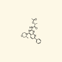 CC(=O)OC(C)C(=O)Nc1nc(N2CCOC[C@@H]2C)c2ccc(-c3ccccc3)nc2n1